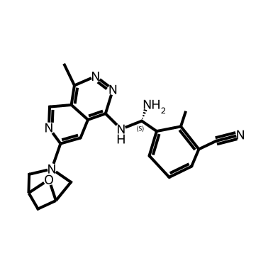 Cc1c(C#N)cccc1[C@@H](N)Nc1nnc(C)c2cnc(N3CC4CC(C3)O4)cc12